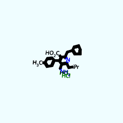 Cc1ccc(-c2c(CN)c(CC(C)C)nc(Cc3ccccc3)c2C(=O)O)cc1.Cl.Cl